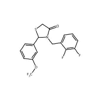 O=C1CSC(c2cccc(OC(F)(F)F)c2)N1Cc1cccc(F)c1F